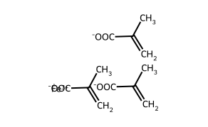 C=C(C)C(=O)[O-].C=C(C)C(=O)[O-].C=C(C)C(=O)[O-].[Fe+3]